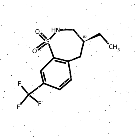 CC[C@@H]1CNS(=O)(=O)c2cc(C(F)(F)F)ccc2C1